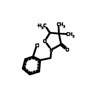 [CH2]C1ON(Cc2ccccc2Cl)C(=O)C1(C)C